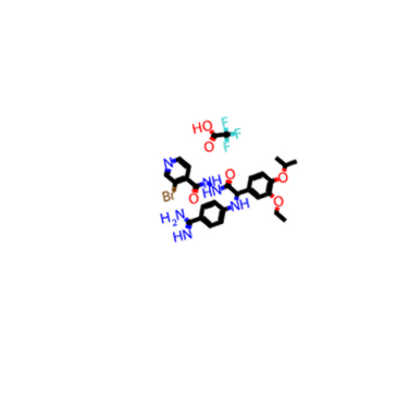 CCOc1cc(C(Nc2ccc(C(=N)N)cc2)C(=O)NNC(=O)c2ccncc2Br)ccc1OC(C)C.O=C(O)C(F)(F)F